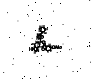 COc1ccc2oc([C@@H]3c4nc[nH]c4CCN3C(=O)c3nnc(-c4ccccn4)o3)nc2c1